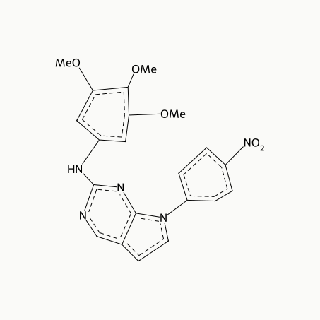 COc1cc(Nc2ncc3ccn(-c4ccc([N+](=O)[O-])cc4)c3n2)cc(OC)c1OC